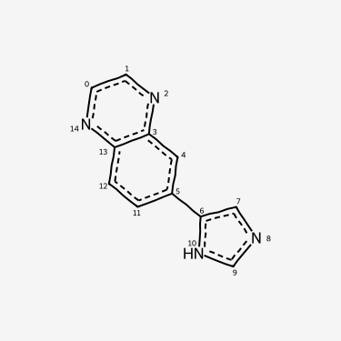 c1cnc2cc(-c3cnc[nH]3)ccc2n1